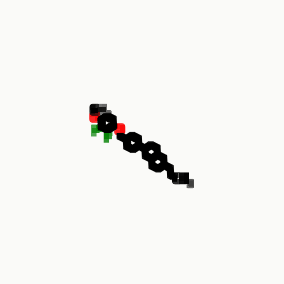 CCCC1CCC2CC(C3C=CC(COc4ccc(OC)c(F)c4F)=CC3)CCC2C1